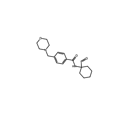 O=[C]C1(NC(=O)c2ccc(CN3CCOCC3)cc2)CCCCC1